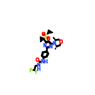 C[C@H]1COC[C@H](C)N1c1cc(C2(S(=O)(=O)C3CC3)CC2)nc(-c2ccc(NC(=O)NCC(F)F)cc2)n1